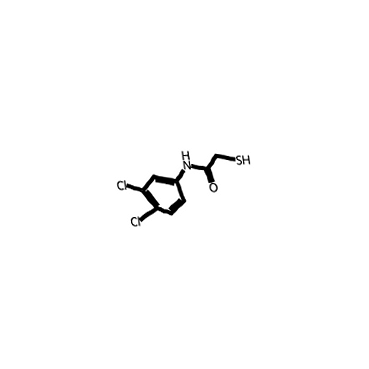 O=C(CS)Nc1ccc(Cl)c(Cl)c1